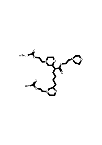 CCCCCCCC(=O)OCCN1CCOC(C(CCCCC2CN(CCOC(=O)CCC)CCO2)C(=O)OCCN2CCOCC2)C1